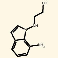 Nc1cccc2ccn(NCCO)c12